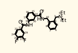 CCN(CC)Cc1ccccc1CNC(=O)c1cccc(NC(=O)c2ccc(F)c(F)c2)c1